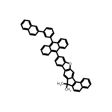 CC1(C)c2cc3c(cc2-c2c1ccc1ccccc21)oc1cc(-c2c4ccccc4c(-c4cccc(-c5ccc6ccccc6c5)c4)c4ccccc24)ccc13